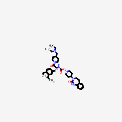 CCc1ccc(C[C@@H](NC(=O)ON2CCC(N3CCc4ccccc4NC3=O)CC2)C(=O)N2CCC(CN(CC)CC)CC2)cc1CC